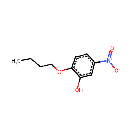 CCCCOc1ccc([N+](=O)[O-])cc1O